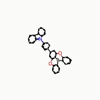 c1ccc2c(c1)Oc1cc(-c3ccc(-n4c5ccccc5c5ccccc54)cc3)cc3c1B2c1ccccc1O3